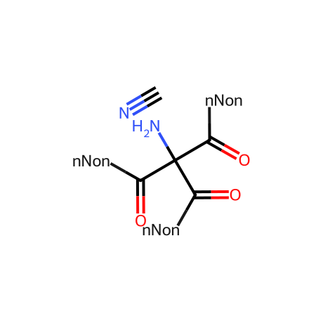 C#N.CCCCCCCCCC(=O)C(N)(C(=O)CCCCCCCCC)C(=O)CCCCCCCCC